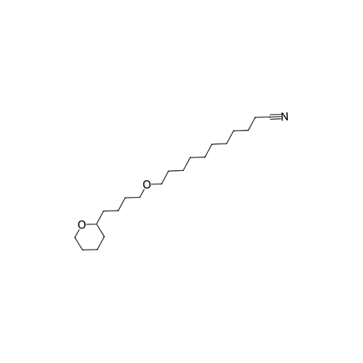 N#CCCCCCCCCCCOCCCCC1CCCCO1